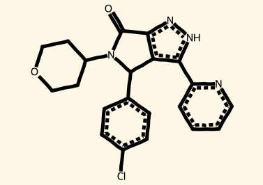 O=C1c2n[nH]c(-c3ccccn3)c2C(c2ccc(Cl)cc2)N1C1CCOCC1